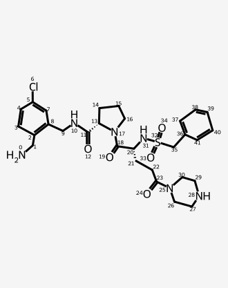 NCc1ccc(Cl)cc1CNC(=O)[C@@H]1CCCN1C(=O)[C@@H](CCC(=O)N1CCNCC1)NS(=O)(=O)Cc1ccccc1